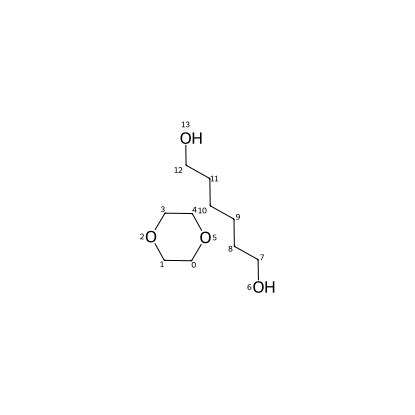 C1COCCO1.OCCCCCCO